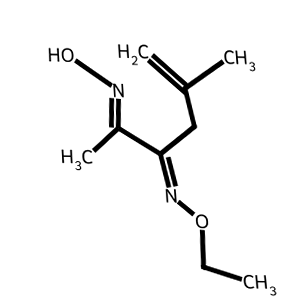 C=C(C)CC(=N\OCC)/C(C)=N/O